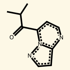 CC(C)C(=O)c1ccnc2ccnn12